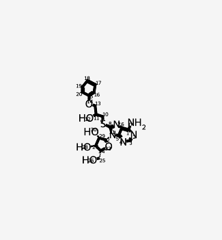 Nc1ncnc2c1nc(SCC(O)COc1ccccc1)n2[C@@H]1O[C@H](CO)[C@@H](O)[C@H]1O